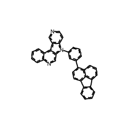 c1cc(-c2ccc3c4c(cccc24)-c2ccccc2-3)cc(-n2c3ccncc3c3c4ccccc4ncc32)c1